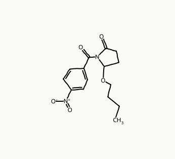 CCCCOC1CCC(=O)N1C(=O)c1ccc([N+](=O)[O-])cc1